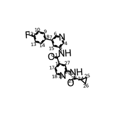 O=C(Nc1cncc(-c2ccc(F)cc2)c1)c1ccnc(NC(=O)C2CC2)c1